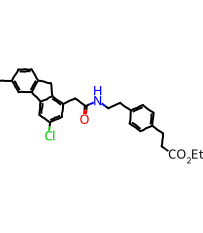 CCOC(=O)CCc1ccc(CCNC(=O)Cc2cc(Cl)cc3c2Cc2ccc(C)cc2-3)cc1